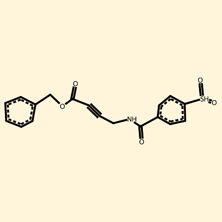 O=C(C#CCNC(=O)c1ccc([SH](=O)=O)cc1)OCc1ccccc1